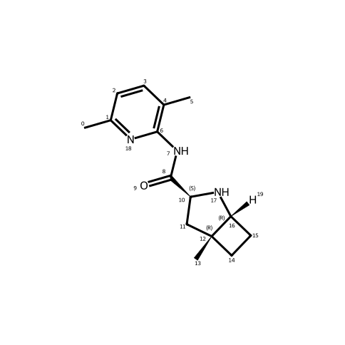 Cc1ccc(C)c(NC(=O)[C@@H]2C[C@@]3(C)CC[C@H]3N2)n1